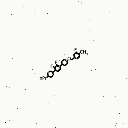 CCCC1CCC(c2ccc(C3CCC(OCc4ccc(C)c(F)c4)CC3)c(F)c2F)CC1